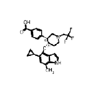 Cc1cc(C2CC2)c(C[C@H]2CCN(CC(F)(F)F)C[C@@H]2c2ccc(C(=O)O)cc2)c2cc[nH]c12